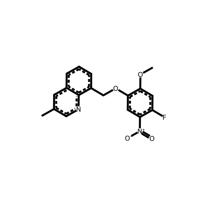 COc1cc(F)c([N+](=O)[O-])cc1OCc1cccc2cc(C)cnc12